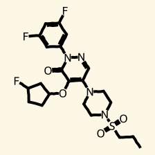 CCCS(=O)(=O)N1CCN(c2cnn(-c3cc(F)cc(F)c3)c(=O)c2OC2CCC(F)C2)CC1